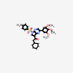 COc1cc(-c2cnc3c(n2)c(C(=O)CC2CCCCC2)cn3S(=O)(=O)c2ccc(C)cc2)cc(OC)c1OC